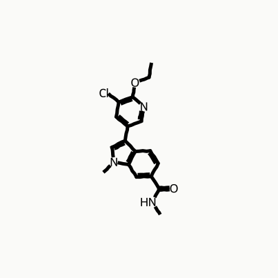 CCOc1ncc(-c2cn(C)c3cc(C(=O)NC)ccc23)cc1Cl